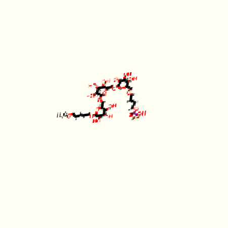 COCCCCCOC1OC(COC2OC(COC3OC(COCCCCOP(=O)(O)S)C(O)C(O)C3O)C(O)C(O)C2O)C(O)C(O)C1O